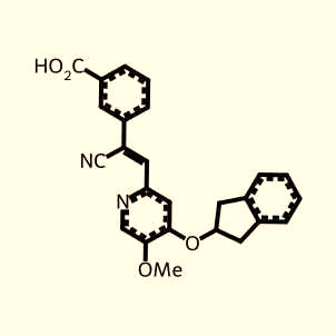 COc1cnc(/C=C(\C#N)c2cccc(C(=O)O)c2)cc1OC1Cc2ccccc2C1